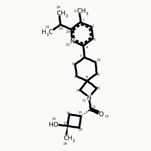 Cc1ccc(C2CCC3(CC2)CN(C(=O)[C@H]2C[C@@](C)(O)C2)C3)nc1C(C)C